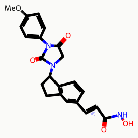 COc1ccc(N2C(=O)CN(C3CCc4cc(/C=C/C(=O)NO)ccc43)C2=O)cc1